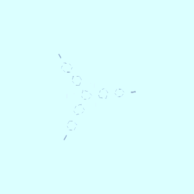 C#Cc1ccc(-c2ccc(-c3c(O)c(-c4ccc(-c5ccc(C#C)cc5)cc4)c(O)c(-c4ccc(-c5ccc(C#C)cc5)cc4)c3O)cc2)cc1